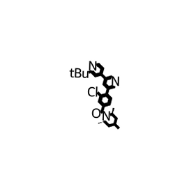 CC1C[C@H](C)N(C(=O)c2ccc(-c3cncc(-c4ccnc(C(C)(C)C)c4)c3)c(Cl)c2)[C@@H](C)C1